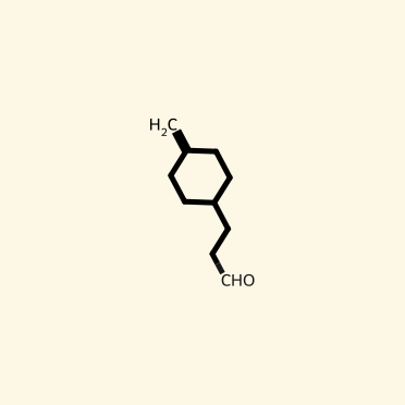 C=C1CCC(CCC=O)CC1